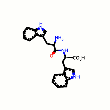 NC(Cc1c[nH]c2ccccc12)C(=O)N[C@H](Cc1c[nH]c2ccccc12)C(=O)O